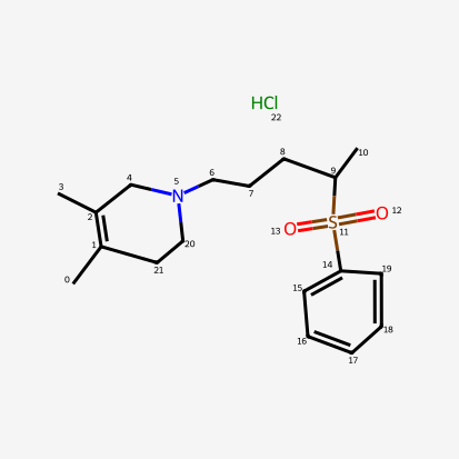 CC1=C(C)CN(CCCC(C)S(=O)(=O)c2ccccc2)CC1.Cl